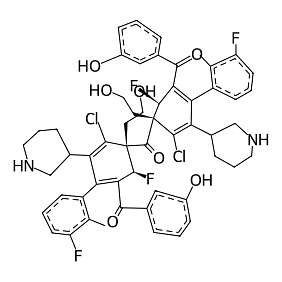 Cc1c(F)cccc1C1=C(C(=O)c2cccc(O)c2)[C@H](F)[C@@](CCO)(C(=O)[C@@]2(CCO)C(Cl)=C(C3CCCNC3)C(c3cccc(F)c3C)=C(C(=O)c3cccc(O)c3)[C@@H]2F)C(Cl)=C1C1CCCNC1